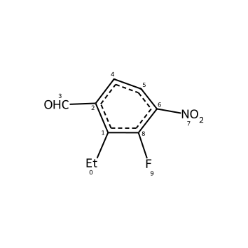 CCc1c(C=O)ccc([N+](=O)[O-])c1F